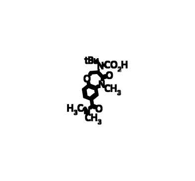 CN(C)C(=O)c1ccc2c(c1)N(C)C(=O)[C@@H](N(C(=O)O)C(C)(C)C)CO2